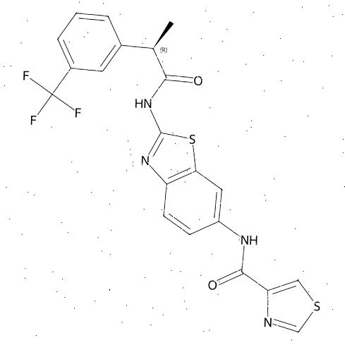 C[C@@H](C(=O)Nc1nc2ccc(NC(=O)c3cscn3)cc2s1)c1cccc(C(F)(F)F)c1